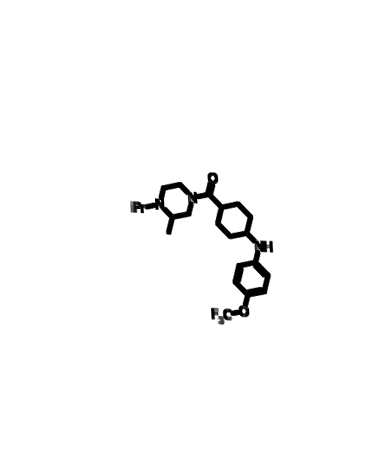 CC(C)N1CCN(C(=O)C2CCC(Nc3ccc(OC(F)(F)F)cc3)CC2)CC1C